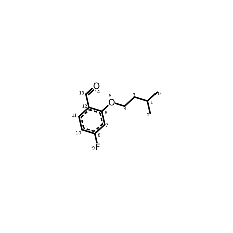 CC(C)CCOc1cc(F)ccc1C=O